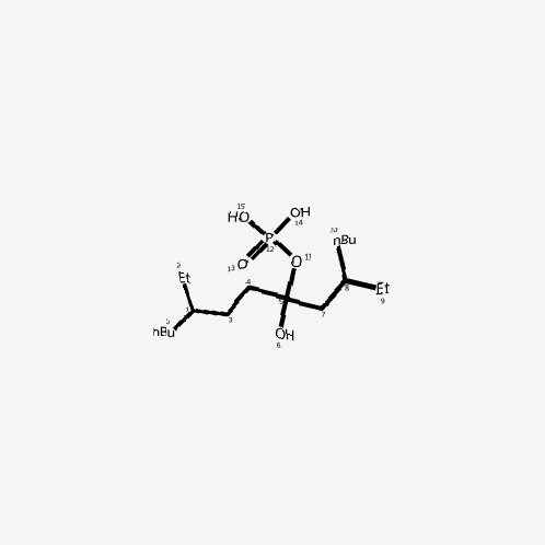 CCCCC(CC)CCC(O)(CC(CC)CCCC)OP(=O)(O)O